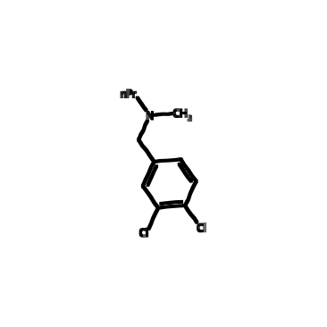 [CH2]CCN(C)Cc1ccc(Cl)c(Cl)c1